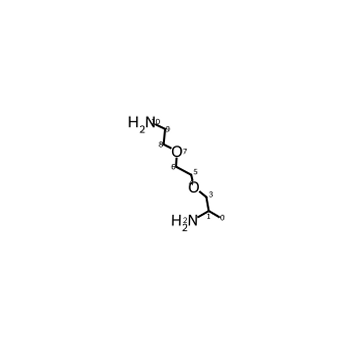 CC(N)COCCOCCN